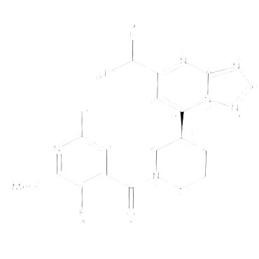 COc1nc(C)cc(C(=O)N2CCC[C@H](c3cc(C(F)F)nc4ncnn34)C2)c1F